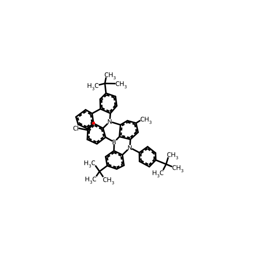 Cc1cc2c3c(c1)N(c1ccc(C(C)(C)C)cc1-c1ccccc1)c1cc(Cl)ccc1B3c1cc(C(C)(C)C)ccc1N2c1ccc(C(C)(C)C)cc1